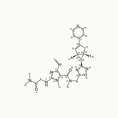 C=Nc1nc(NCC(=O)N(C)C)n(C)c1C(=O)N(C)Cc1nc([C@H]2[C@@H]3C=C(c4ccccc4)C[C@@H]32)no1